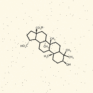 CC1(C)C2CC[C@]3(C)C(CCC4C5[C@H](C(=O)O)CC[C@]5(C(=O)O)CC[C@]43C)[C@@]2(C)CC[C@@H]1O